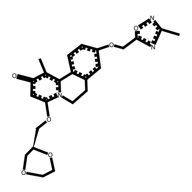 Cc1noc(COc2ccc3c(c2)CCn2c(OC[C@@H]4COCCO4)cc(=O)c(C)c2-3)n1